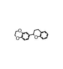 c1ccc2c(c1)CCC(c1ccc3c(c1)OCCO3)O2